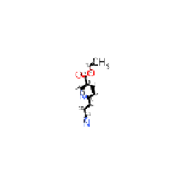 CCOC(=O)c1ccc(CCC#N)nc1